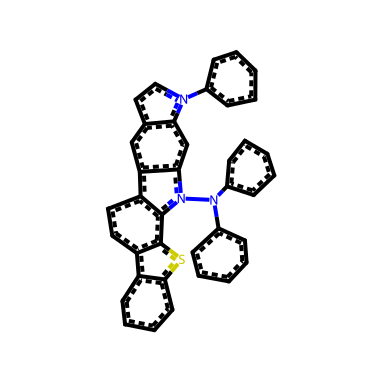 c1ccc(N(c2ccccc2)n2c3cc4c(ccn4-c4ccccc4)cc3c3ccc4c5ccccc5sc4c32)cc1